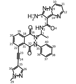 CC(NC(=O)c1c(N)nn2cccnc12)n1c(=O)c2cccc(C#Cc3cnn(C)c3)c2c(=O)n1-c1ccccc1